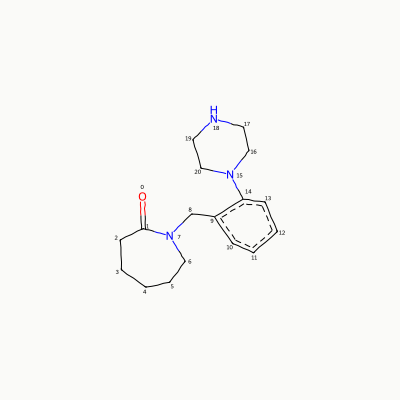 O=C1CCCCCN1Cc1ccccc1N1CCNCC1